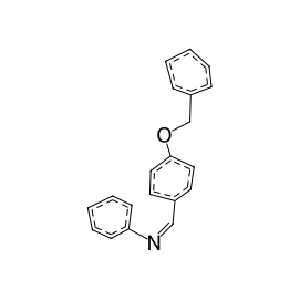 C(=N/c1ccccc1)/c1ccc(OCc2ccccc2)cc1